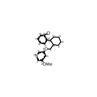 COc1cncc(OCC2CCCCC2c2ccccc2Cl)c1